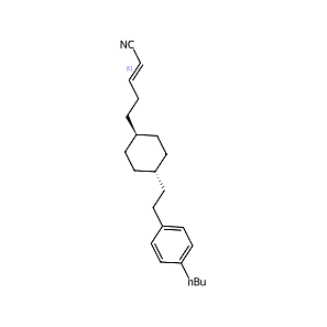 CCCCc1ccc(CC[C@H]2CC[C@H](CC/C=C/C#N)CC2)cc1